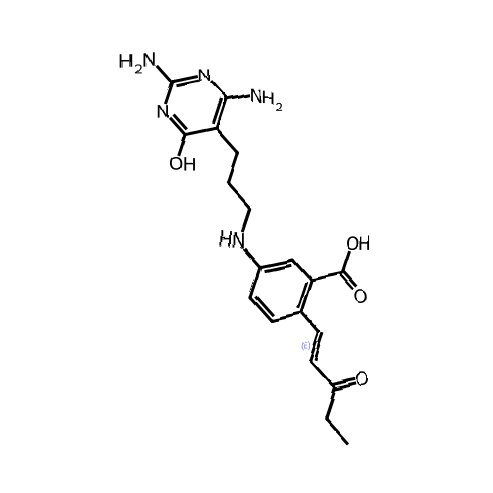 CCC(=O)/C=C/c1ccc(NCCCc2c(N)nc(N)nc2O)cc1C(=O)O